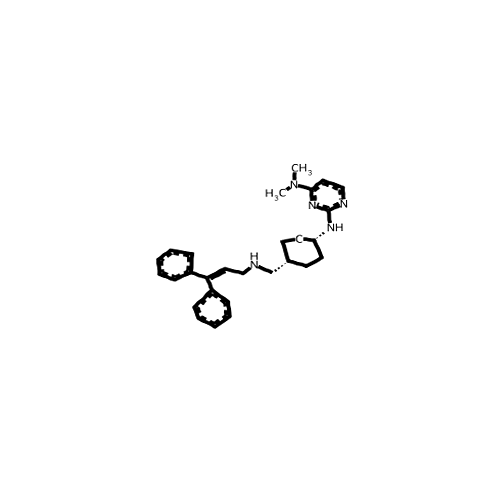 CN(C)c1ccnc(N[C@H]2CC[C@@H](CNCC=C(c3ccccc3)c3ccccc3)CC2)n1